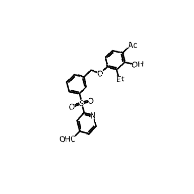 CCc1c(OCc2cccc(S(=O)(=O)c3cc(C=O)ccn3)c2)ccc(C(C)=O)c1O